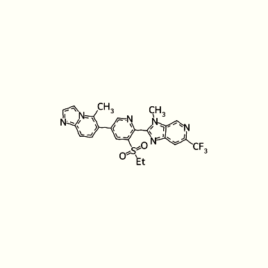 CCS(=O)(=O)c1cc(-c2ccc3nccn3c2C)cnc1-c1nc2cc(C(F)(F)F)ncc2n1C